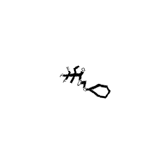 CCC(C)(C(=O)OCOC1CCCCC1)C(F)(F)F